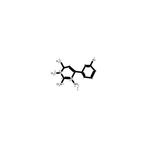 CC(=O)c1cccc(C2=CC(C)N(C)C(N)=[N+]2N)c1.[I-]